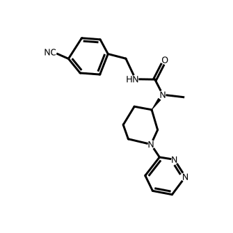 CN(C(=O)NCc1ccc(C#N)cc1)[C@@H]1CCCN(c2cccnn2)C1